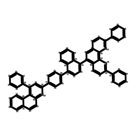 c1ccc(-c2ccc3cc(-c4ccc(-c5ccc(-c6cc(-c7ccccc7)c7c(ccc8ccccc87)n6)cc5)c5ccccc45)c4ccc(-c5ccccc5)nc4c3n2)cc1